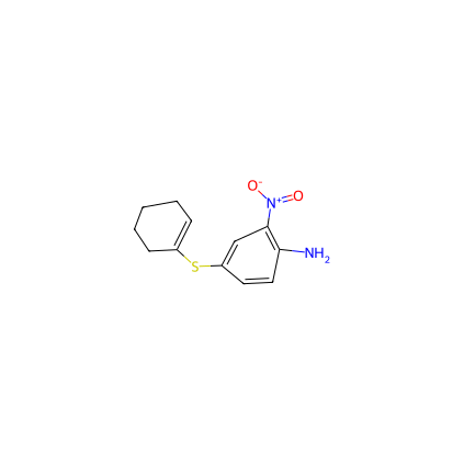 Nc1ccc(SC2=CCCCC2)cc1[N+](=O)[O-]